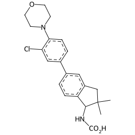 CC1(C)Cc2cc(-c3ccc(N4CCOCC4)c(Cl)c3)ccc2C1NC(=O)O